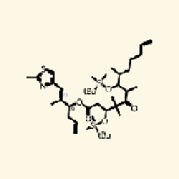 C=CCCCC(C)C(O[Si](C)(C)C(C)(C)C)C(C)C(=O)C(C)(C)C(CC(=O)O[C@@H](CC=C)/C(C)=C/c1csc(C)n1)O[Si](C)(C)C(C)(C)C